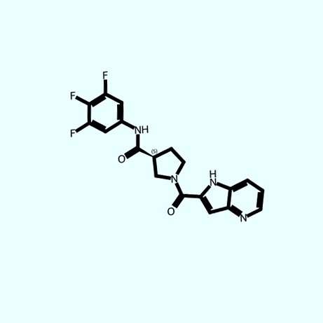 O=C(Nc1cc(F)c(F)c(F)c1)[C@H]1CCN(C(=O)c2cc3ncccc3[nH]2)C1